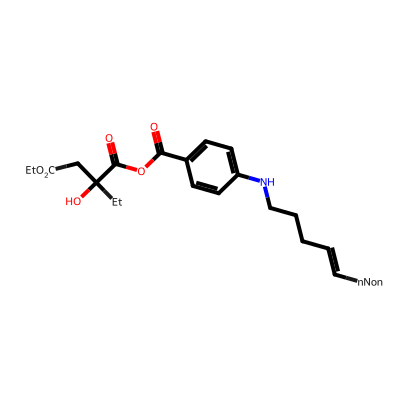 CCCCCCCCCC=CCCCNc1ccc(C(=O)OC(=O)C(O)(CC)CC(=O)OCC)cc1